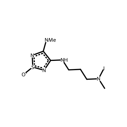 CNc1n[s+]([O-])nc1NCCCN(C)I